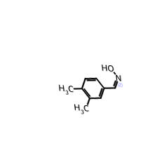 Cc1ccc(/C=N\O)cc1C